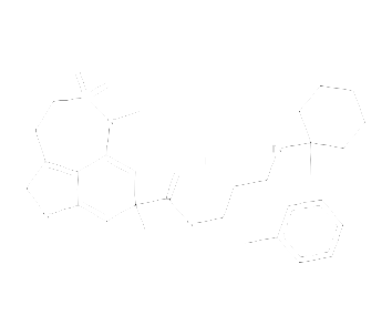 CCC1(C(=O)N[C@@H](Cc2ccccc2)[C@H](O)CNC2(C)CCCCC2)C=C2NCC3=C2C(=C1)N(C)S(=O)(=O)CC3